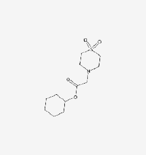 O=C(CN1CCS(=O)(=O)CC1)OC1CCCCC1